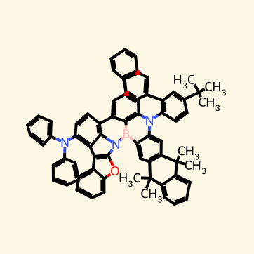 CC(C)(C)c1ccc(N2c3cc4c(cc3B3c5c(cc(-c6ccccc6)cc52)-c2ccc(N(c5ccccc5)c5ccccc5)c5c6c7ccccc7oc6n3c25)C(C)(C)c2ccccc2C4(C)C)c(-c2ccccc2)c1